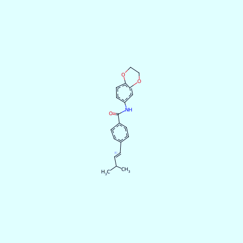 CC(C)/C=C/c1ccc(C(=O)Nc2ccc3c(c2)OCCO3)cc1